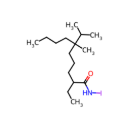 CCCCC(C)(CCCC(CC)C(=O)NI)C(C)C